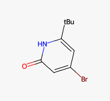 CC(C)(C)c1cc(Br)cc(=O)[nH]1